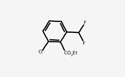 CCOC(=O)c1c(Cl)cccc1C(F)F